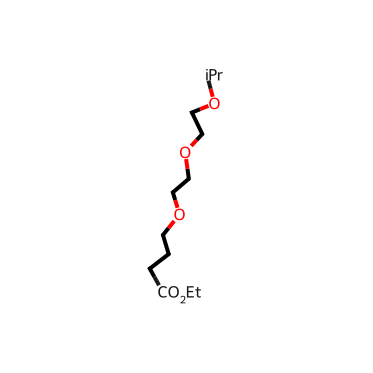 CCOC(=O)CCCOCCOCCOC(C)C